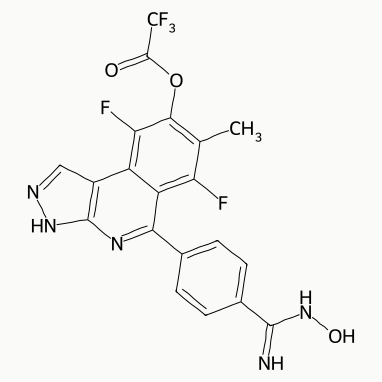 Cc1c(OC(=O)C(F)(F)F)c(F)c2c(c(-c3ccc(C(=N)NO)cc3)nc3[nH]ncc32)c1F